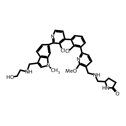 COc1nc(-c2cccc(-c3ccnc(-c4ccc5c(CNCCO)cn(C)c5c4)c3Cl)c2Cl)ccc1CNCC1CCC(=O)N1